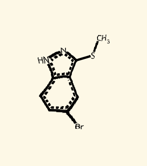 CSc1n[nH]c2ccc(Br)cc12